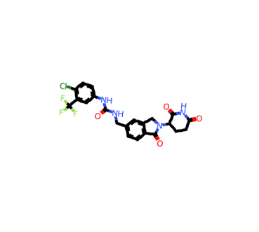 O=C1CCC(N2Cc3cc(CNC(=O)Nc4ccc(Cl)c(C(F)(F)F)c4)ccc3C2=O)C(=O)N1